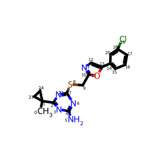 CC1(c2nc(N)nc(SCc3ncc(-c4cccc(Cl)c4)o3)n2)CC1